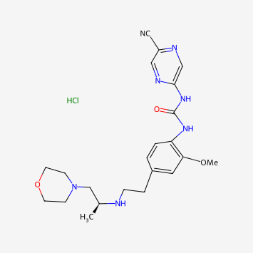 COc1cc(CCN[C@@H](C)CN2CCOCC2)ccc1NC(=O)Nc1cnc(C#N)cn1.Cl